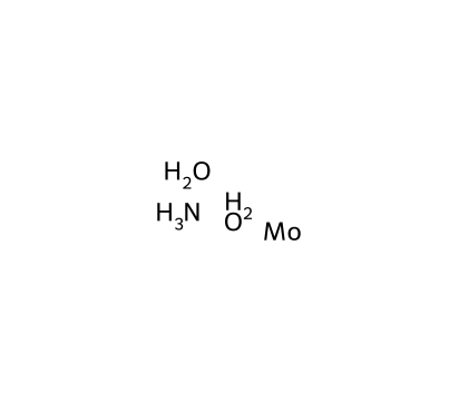 N.O.O.[Mo]